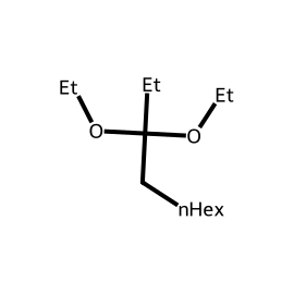 CCCCCCCC(CC)(OCC)OCC